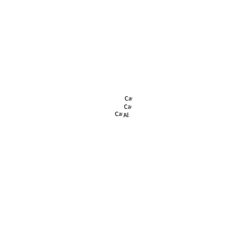 [Al].[Ca].[Ca].[Ca]